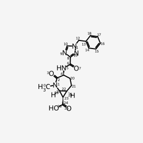 CN1C(=O)[C@@H](NC(=O)c2ncn(Cc3ccccc3)n2)CC[C@H]2[C@@H](C(=O)O)[C@H]21